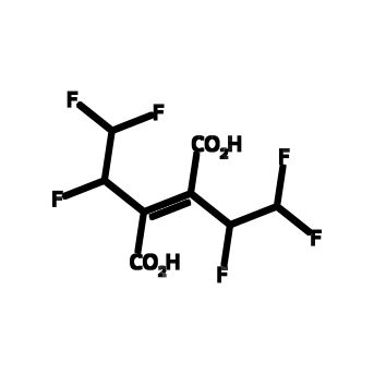 O=C(O)C(=C(C(=O)O)C(F)C(F)F)C(F)C(F)F